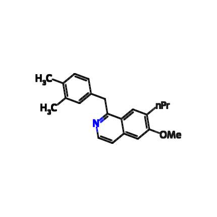 CCCc1cc2c(Cc3ccc(C)c(C)c3)nccc2cc1OC